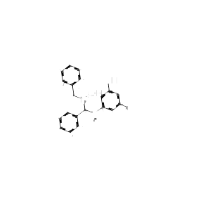 Cc1cc(C)cc([PH](=O)C(c2ccccc2)N(O)Cc2ccccc2)c1